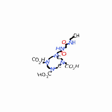 C#CCNC(=O)CNC(=O)CN1CCN(CC(=O)O)CCN(CC(=O)O)CCN(CC(=O)O)CC1